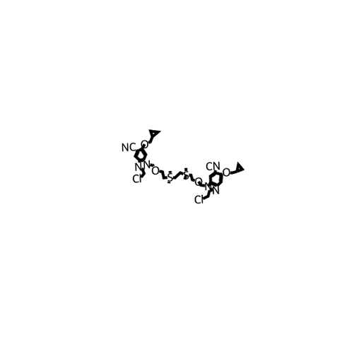 CS(C)(CCOCn1c(CCl)nc2cc(OCC3CC3)c(C#N)cc21)CCS(C)(C)CCOCn1c(CCl)nc2cc(C#N)c(OCC3CC3)cc21